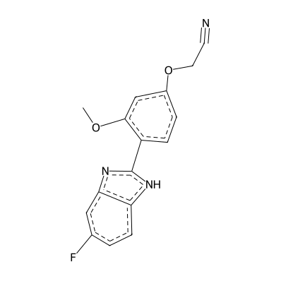 COc1cc(OCC#N)ccc1-c1nc2cc(F)ccc2[nH]1